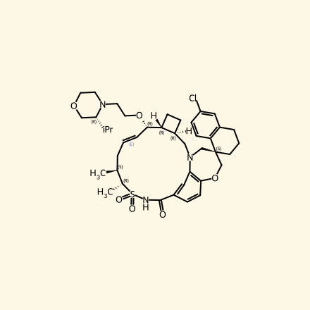 CC(C)[C@@H]1COCCN1CCO[C@H]1/C=C/C[C@H](C)[C@@H](C)S(=O)(=O)NC(=O)c2ccc3c(c2)N(C[C@@H]2CC[C@H]21)C[C@@]1(CCCc2cc(Cl)ccc21)CO3